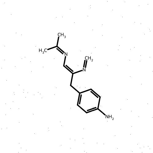 C=N/C(=C\N=C(C)C)Cc1ccc(N)cc1